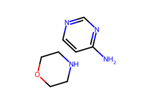 C1COCCN1.Nc1ccncn1